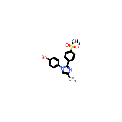 CS(=O)(=O)c1ccc(-c2nc(C(F)(F)F)cn2-c2ccc(Br)cc2)cc1